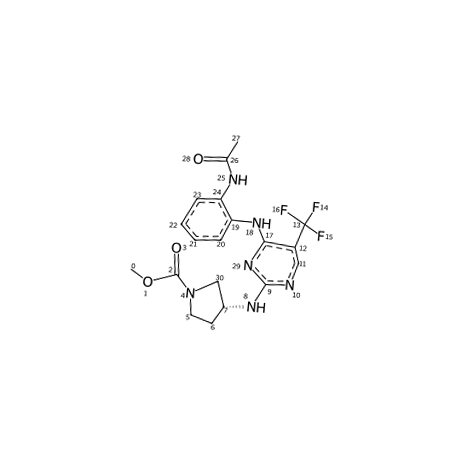 COC(=O)N1CC[C@@H](Nc2ncc(C(F)(F)F)c(Nc3ccccc3NC(C)=O)n2)C1